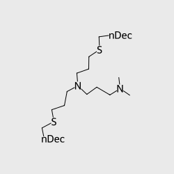 CCCCCCCCCCCSCCCN(CCCSCCCCCCCCCCC)CCCN(C)C